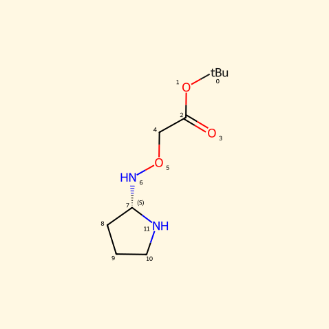 CC(C)(C)OC(=O)CON[C@H]1CCCN1